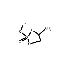 CCOP1(=O)OCC(C)O1